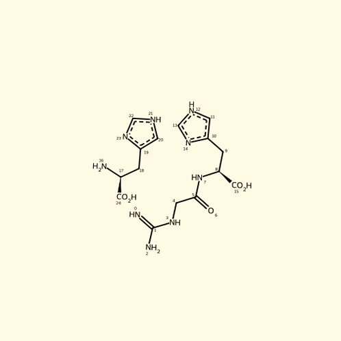 N=C(N)NCC(=O)N[C@@H](Cc1c[nH]cn1)C(=O)O.N[C@@H](Cc1c[nH]cn1)C(=O)O